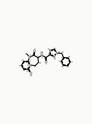 CN1C(=O)C(NC(=O)c2ncn(Cc3ccccc3)n2)CCn2c1cccc2=O